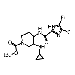 CCc1[nH]c(C(=O)NC2CCN(C(=O)OC(C)(C)C)CC2NC2CC2)nc1Cl